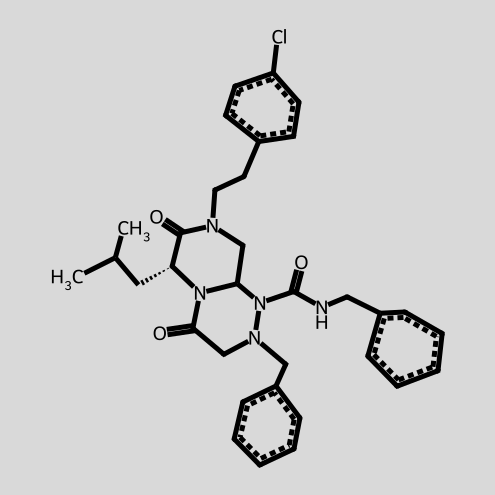 CC(C)C[C@@H]1C(=O)N(CCc2ccc(Cl)cc2)CC2N1C(=O)CN(Cc1ccccc1)N2C(=O)NCc1ccccc1